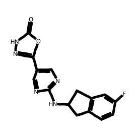 O=c1[nH]nc(-c2cnc(NC3Cc4ccc(F)cc4C3)nc2)o1